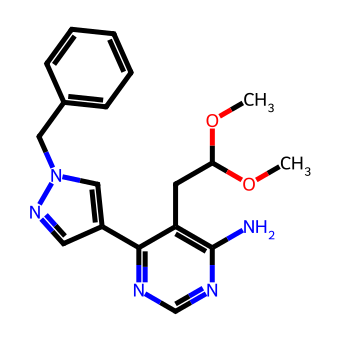 COC(Cc1c(N)ncnc1-c1cnn(Cc2ccccc2)c1)OC